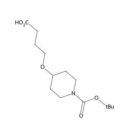 CC(C)(C)OC(=O)N1CCC(OCCCC(=O)O)CC1